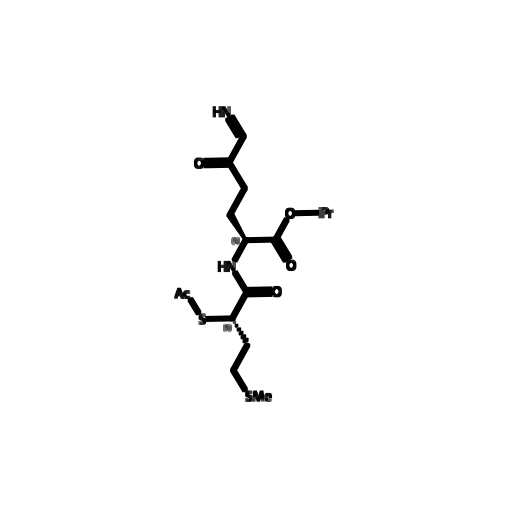 CSCC[C@H](SC(C)=O)C(=O)N[C@@H](CCC(=O)C=N)C(=O)OC(C)C